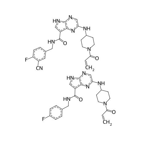 C=CC(=O)N1CCC(Nc2cnc3[nH]cc(C(=O)NCc4ccc(F)c(C#N)c4)c3n2)CC1.C=CC(=O)N1CCC(Nc2cnc3[nH]cc(C(=O)NCc4ccc(F)cc4)c3n2)CC1